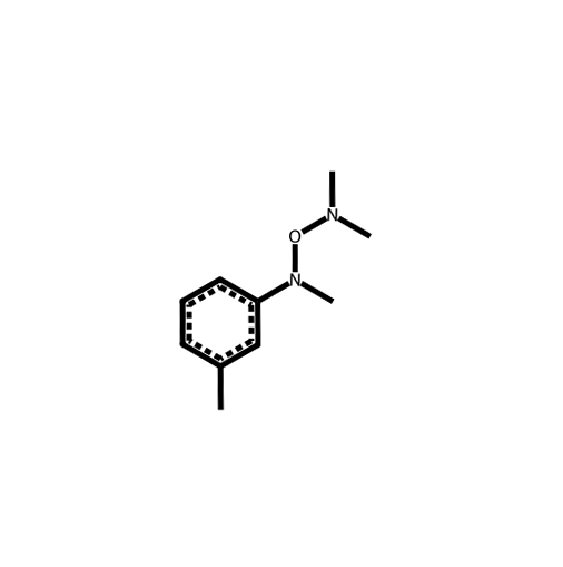 Cc1cccc(N(C)ON(C)C)c1